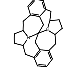 c1cc2c3c(c1)CC1CCC4Cc5cccc6c5CC(C3)(N3C(CCC3C6)C2)N14